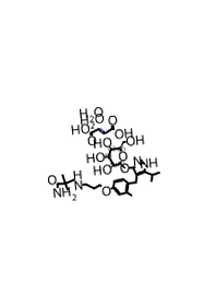 Cc1cc(OCCCNCC(C)(C)C(N)=O)ccc1Cc1c(O[C@@H]2O[C@H](CO)[C@@H](O)[C@H](O)[C@H]2O)n[nH]c1C(C)C.O.O.O=C(O)/C=C/C(=O)O